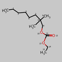 CCCCCCC(C)(C)COC(=O)OCC